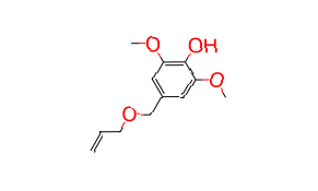 C=CCOCc1cc(OC)c(O)c(OC)c1